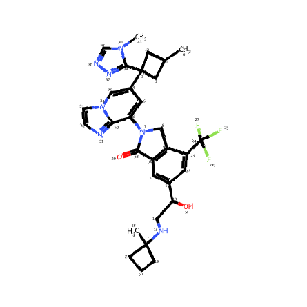 CC1CC(c2cc(N3Cc4c(cc(C(O)CNC5(C)CCC5)cc4C(F)(F)F)C3=O)c3nccn3c2)(c2nncn2C)C1